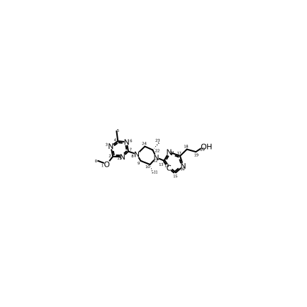 COc1nc(C)nc(N2C[C@@H](C)N(c3ccnc(CCO)n3)[C@@H](C)C2)n1